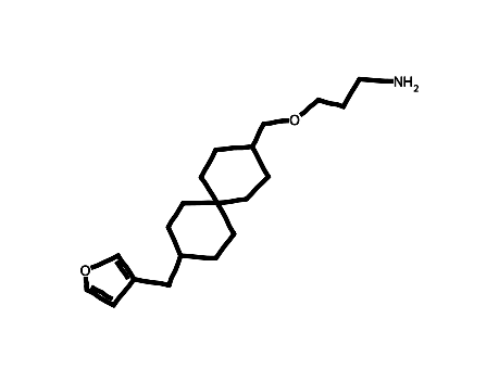 NCCCOCC1CCC2(CC1)CCC(Cc1ccoc1)CC2